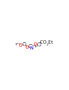 CCOC(=O)c1ccc2cc(-c3ccc(Oc4cccc(OCC5CC5)c4)cn3)oc2c1